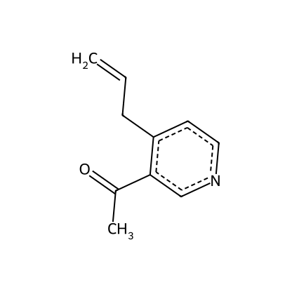 C=CCc1ccncc1C(C)=O